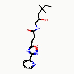 CCC(C)(C)CC(O)CNC(=O)CCc1nc(-c2ccccn2)no1